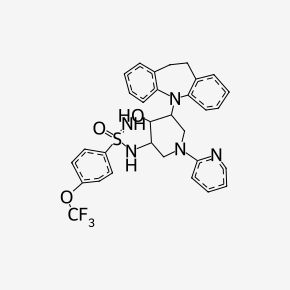 N=S(=O)(NC1CN(c2ccccn2)CC(N2c3ccccc3CCc3ccccc32)C1O)c1ccc(OC(F)(F)F)cc1